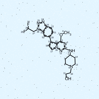 COc1nc(NC2CCN(CCO)CC2)nn2ccc(-c3ccc4nnn(CC(F)F)c4c3)c12